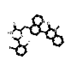 Cn1c(=O)c(-c2ccc(CC(NC(=O)c3c(F)cccc3F)C(=O)O)c3cccnc23)cc2ccccc21